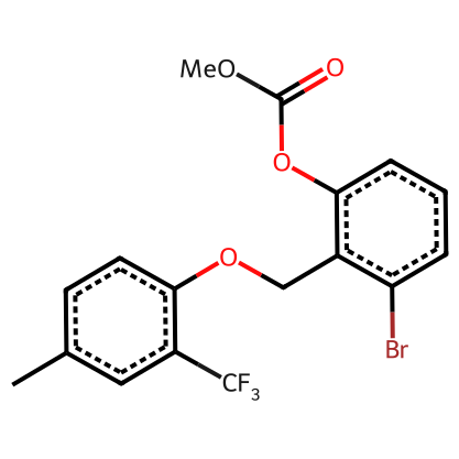 COC(=O)Oc1cccc(Br)c1COc1ccc(C)cc1C(F)(F)F